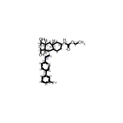 CCOC(=O)N[C@@H]1CCC2[C@@H](C1)C[C@H]1C(O)OC(C)[C@H]1[C@H]2/C=C/c1ccc(-c2cccc(F)c2)cn1